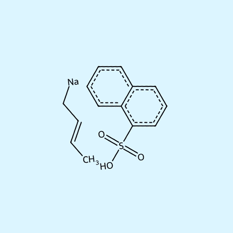 CC=C[CH2][Na].O=S(=O)(O)c1cccc2ccccc12